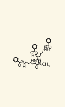 CCNC(=O)C(CCCCNOC(=O)c1ccccc1)NC(=O)C(CCCCNOC(=O)c1ccccc1)NOC(=O)c1ccccc1